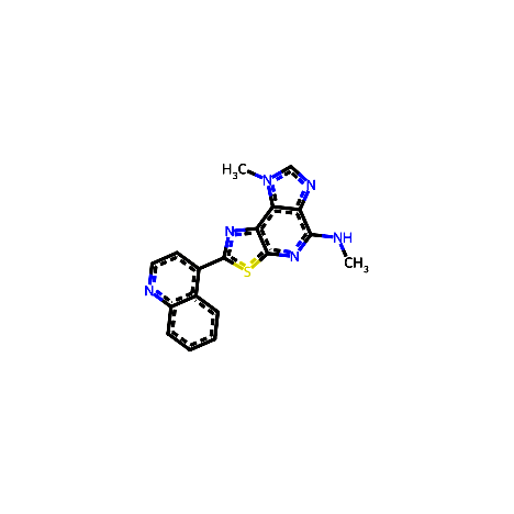 CNc1nc2sc(-c3ccnc4ccccc34)nc2c2c1ncn2C